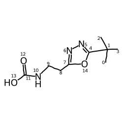 CC(C)(C)c1nnc(CCNC(=O)O)o1